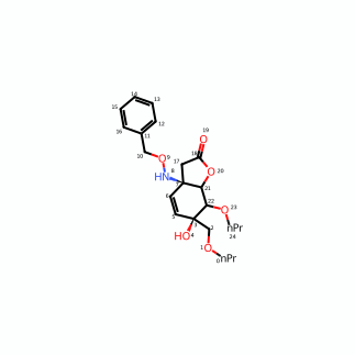 CCCOC[C@]1(O)C=C[C@]2(NOCc3ccccc3)CC(=O)OC2C1OCCC